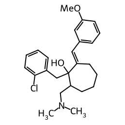 COc1cccc(/C=C2\CCCCC(CN(C)C)C2(O)Cc2ccccc2Cl)c1